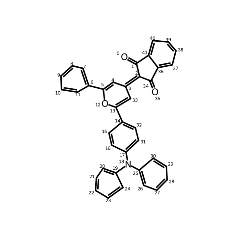 O=C1C(=C2C=C(c3ccccc3)OC(c3ccc(N(c4ccccc4)c4ccccc4)cc3)=C2)C(=O)c2ccccc21